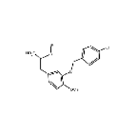 COc1ccc(CC(OC(C)C)C(=O)O)cc1OCc1ccc(Cl)cc1